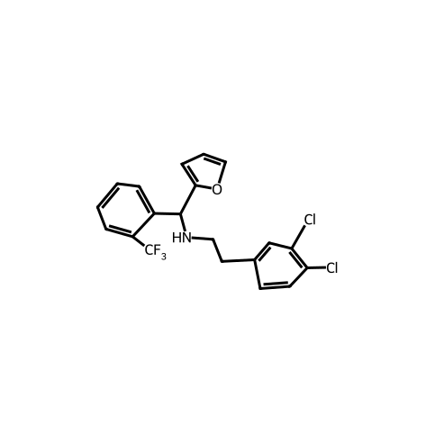 FC(F)(F)c1ccccc1C(NCCc1ccc(Cl)c(Cl)c1)c1ccco1